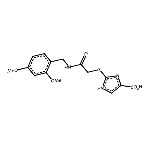 COc1ccc(CNC(=O)CSc2nc(C(=O)O)c[nH]2)c(OC)c1